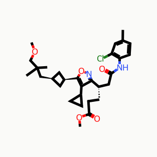 COCC(C)(C)C[C@H]1C[C@@H](c2onc([C@@H](CCC(=O)OC)CC(=O)Nc3ccc(C)cc3Cl)c2C2CC2)C1